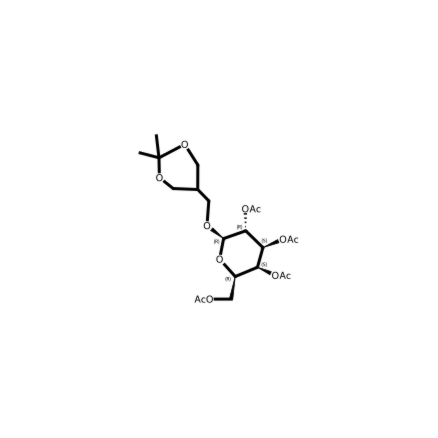 CC(=O)OC[C@H]1O[C@@H](OCC2COC(C)(C)OC2)[C@H](OC(C)=O)[C@@H](OC(C)=O)[C@H]1OC(C)=O